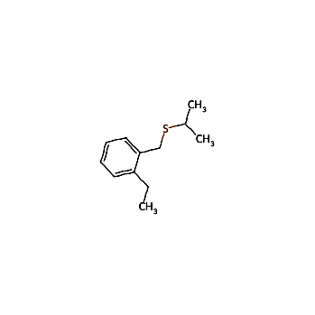 CCc1ccccc1CSC(C)C